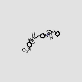 O=[N+]([O-])c1ccc2nc(NCCc3ccc(/N=C4/N[C@@H](Cc5ccccc5)CS4)cc3)sc2c1